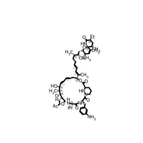 CC[C@H]1C[C@H](C)[C@@]2(NC1=O)O[C@@H](C[C@H](O)[C@@H](C)CC/C=C/C=C(\C)[C@@H]1C/C=C/C=C/[C@H](O)[C@H](C)[C@@H](O)[C@@H](CCC(C)=O)C(=O)N[C@@H](C(C)C)C(=O)N[C@@H](Cc3cccc(N)c3)C(=O)N3CCCC(N3)C(=O)O1)[C@H](C)C=C2C